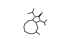 CC1CCCCCCC2C(C1)N(C(C)C)C(=S)N2C(C)C